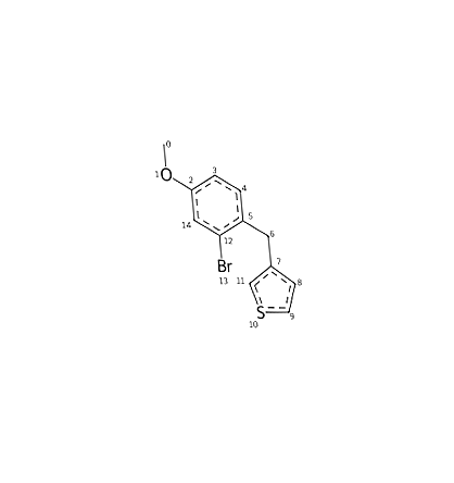 COc1ccc(Cc2ccsc2)c(Br)c1